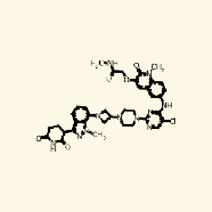 CNC(=O)COc1cc2cc(Nc3nc(N4CCN(C5CN(c6cccc7c(C8CCC(=O)NC8=O)nn(C)c67)C5)CC4)ncc3Cl)ccc2n(C)c1=O